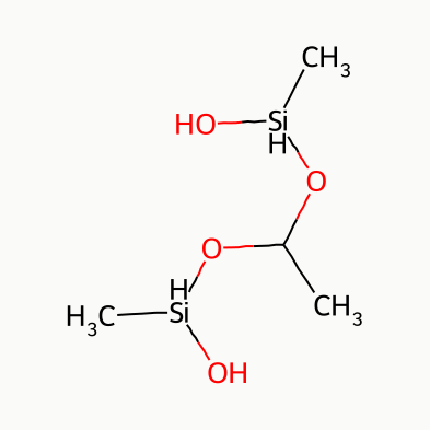 CC(O[SiH](C)O)O[SiH](C)O